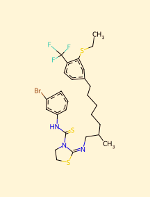 CCSc1cc(CCCCCC(C)C/N=C2/SCCN2C(=S)Nc2cccc(Br)c2)ccc1C(F)(F)F